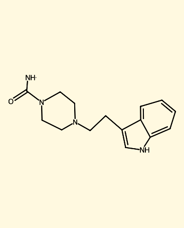 [NH]C(=O)N1CCN(CCc2c[nH]c3ccccc23)CC1